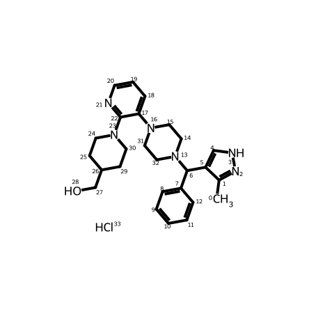 Cc1n[nH]cc1C(c1ccccc1)N1CCN(c2cccnc2N2CCC(CO)CC2)CC1.Cl